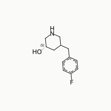 O[C@@H]1CNCC(Cc2ccc(F)cc2)C1